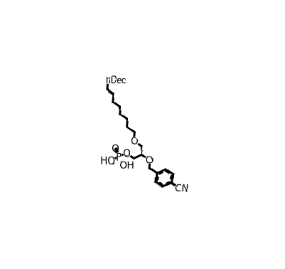 CCCCCCCCCCCCCCCCCCOC[C@H](COP(=O)(O)O)OCc1ccc(C#N)cc1